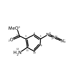 COC(=O)c1cc(N=[N+]=[N-])ccc1N